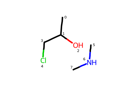 CC(O)CCl.CNC